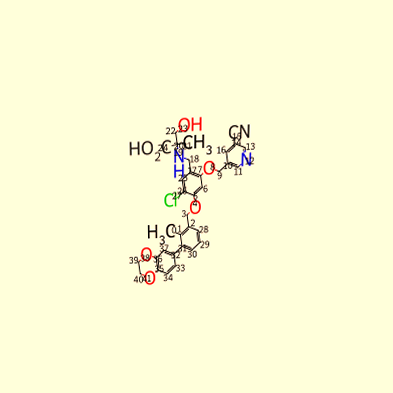 Cc1c(COc2cc(OCc3cncc(C#N)c3)c(CNC(C)(CO)C(=O)O)cc2Cl)cccc1-c1ccc2c(c1)OCCO2